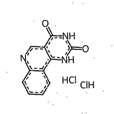 Cl.Cl.O=c1[nH]c(=O)c2cnc3ccccc3c2[nH]1